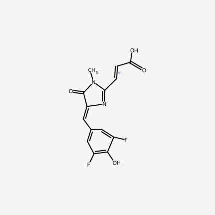 CN1C(=O)C(=Cc2cc(F)c(O)c(F)c2)N=C1/C=C/C(=O)O